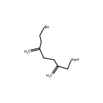 C=C([CH]CC(=C)CC(C)CCC)CCC(C)CC